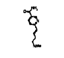 CNCCC=Cc1ccc(C(N)=O)cn1